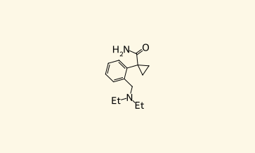 CCN(CC)Cc1ccccc1C1(C(N)=O)CC1